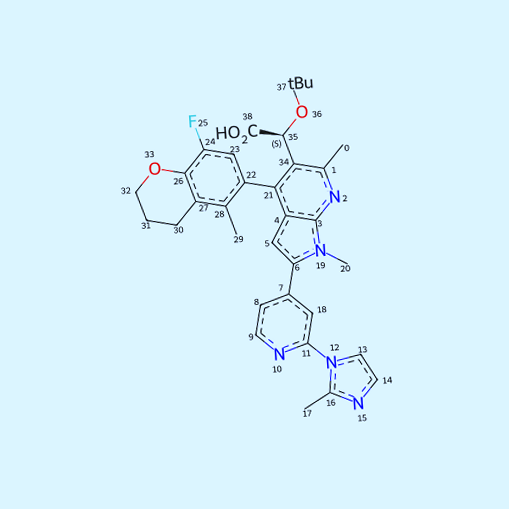 Cc1nc2c(cc(-c3ccnc(-n4ccnc4C)c3)n2C)c(-c2cc(F)c3c(c2C)CCCO3)c1[C@H](OC(C)(C)C)C(=O)O